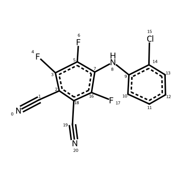 N#Cc1c(F)c(F)c(Nc2ccccc2Cl)c(F)c1C#N